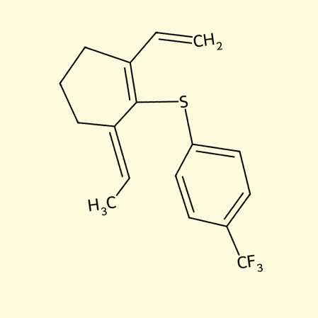 C=CC1=C(Sc2ccc(C(F)(F)F)cc2)/C(=C/C)CCC1